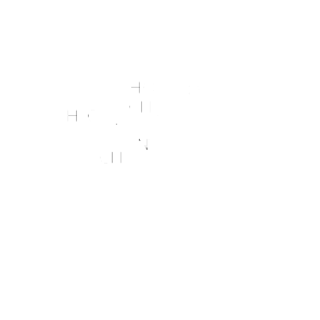 CC(C)(C)N[C@@H](CC1=CCc2ccccc21)C(=O)O